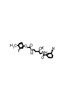 Cc1ccc(OCC(=O)NCCC(CNC(=O)c2cccc(C#N)c2)OI)cc1F